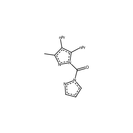 CCCc1c(C)nn(C(=O)n2cccn2)c1CCC